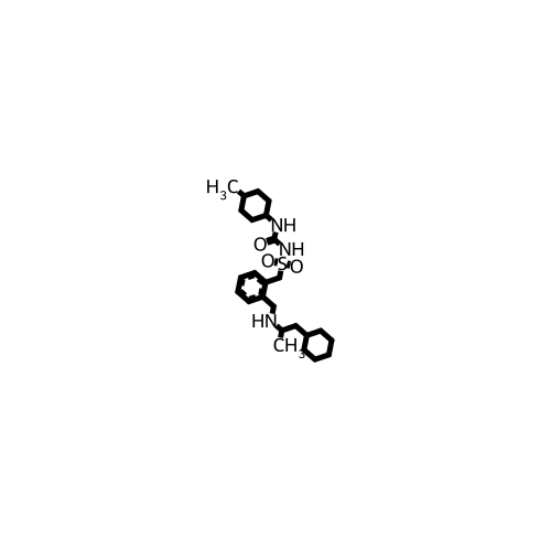 CC1CCC(NC(=O)NS(=O)(=O)Cc2ccccc2CNC(C)CC2CCCCC2)CC1